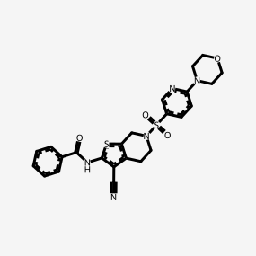 N#Cc1c(NC(=O)c2ccccc2)sc2c1CCN(S(=O)(=O)c1ccc(N3CCOCC3)nc1)C2